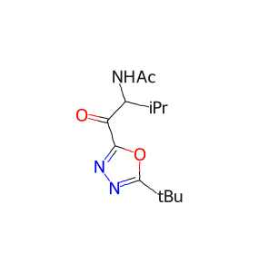 CC(=O)NC(C(=O)c1nnc(C(C)(C)C)o1)C(C)C